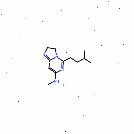 CNC1=CC2=NCCN2C(CCC(C)C)=N1.Cl